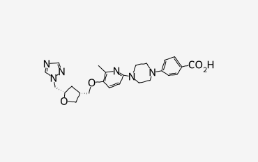 Cc1nc(N2CCN(c3ccc(C(=O)O)cc3)CC2)ccc1OC[C@@H]1CO[C@H](Cn2cncn2)C1